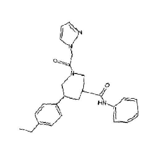 CCc1ccc(C2CC(C(=O)Nc3ccccc3)CN(C(=O)Cn3cccn3)C2)cc1